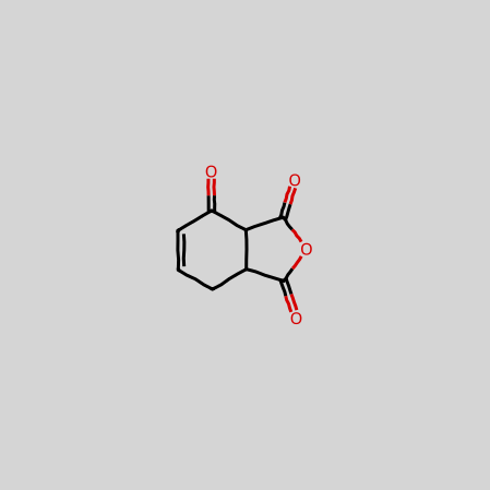 O=C1OC(=O)C2C(=O)C=CCC12